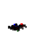 COC(=O)c1ccc(CN(C(=O)C2Cc3ccccc3CN2C(=O)C(NC(=O)OC(C)(C)C)C(C)(C)C)[C@H](C)c2ccc(F)cc2)cc1